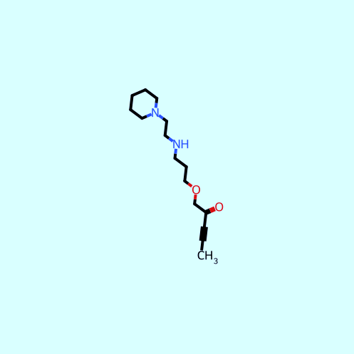 CC#CC(=O)COCCCNCCN1CCCCC1